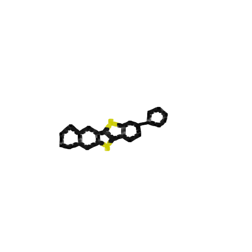 c1ccc(-c2ccc3c(c2)sc2c4cc5ccccc5cc4sc32)cc1